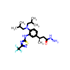 CC(C)CN(CC(C)C)c1ccc([C@H](C)CC(=O)NN)cc1Nc1nc(C(F)(F)F)ns1